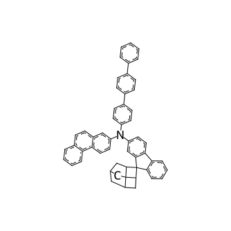 c1ccc(-c2ccc(-c3ccc(N(c4ccc5c(c4)C4(c6ccccc6-5)C5CC6CC7CC4C75C6)c4ccc5c(ccc6ccccc65)c4)cc3)cc2)cc1